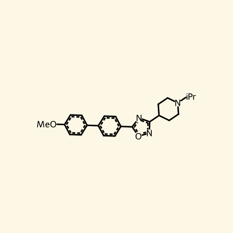 COc1ccc(-c2ccc(-c3nc(C4CCN(C(C)C)CC4)no3)cc2)cc1